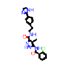 Cc1c(C(=O)NCCc2ccc(C3=NCCN3)cc2)n[nH]c1NC(=O)c1ccccc1Cl